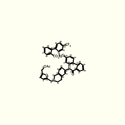 CC(=O)OCc1ccc(CN2CCc3cc(NC(=O)c4ccccc4-c4ccc(C(F)(F)F)cc4)ccc3C2)o1.O=C(O)c1ccccc1-c1ccc(C(F)(F)F)cc1